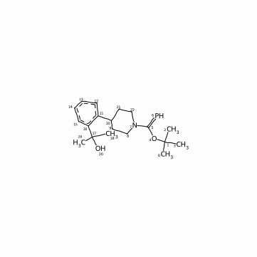 CC(C)(C)OC(=P)N1CCC(c2ccccc2C(C)(C)O)CC1